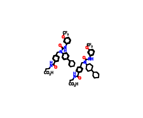 O=C(O)CCNC(=O)c1ccc(CN(C(=O)Nc2cccc(OC(F)(F)F)c2)C2CCC(C3CCCCC3)CC2)cc1.O=C(O)CCNC(=O)c1ccc(CN(C(=O)Nc2cccc(OC(F)(F)F)c2)c2ccc(C3=CCCCC3)cc2)cc1